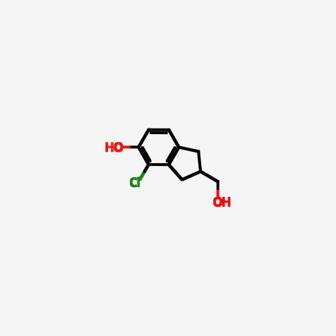 OCC1Cc2ccc(O)c(Cl)c2C1